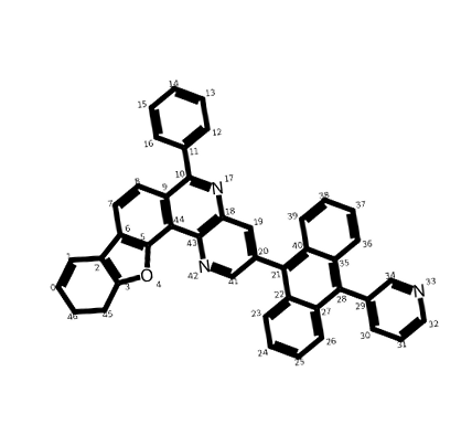 C1=Cc2c(oc3c2ccc2c(-c4ccccc4)nc4cc(-c5c6ccccc6c(-c6cccnc6)c6ccccc56)cnc4c23)CC1